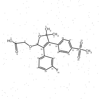 CC1(C)OC(OCC(=O)O)C(c2cccc(F)c2)=C1c1ccc(S(C)(=O)=O)cc1